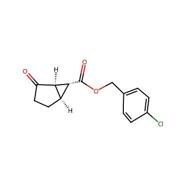 O=C1CC[C@H]2[C@@H]1[C@@H]2C(=O)OCc1ccc(Cl)cc1